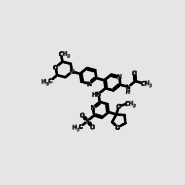 COC1(c2cc(Nc3cc(NC(C)=O)ncc3-c3ccc(N4CC(C)OC(C)C4)cn3)nc(S(C)(=O)=O)c2)CCOC1